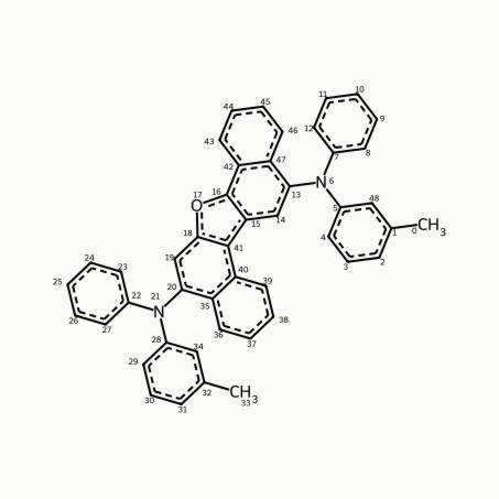 Cc1cccc(N(c2ccccc2)c2cc3c(oc4cc(N(c5ccccc5)c5cccc(C)c5)c5ccccc5c43)c3ccccc23)c1